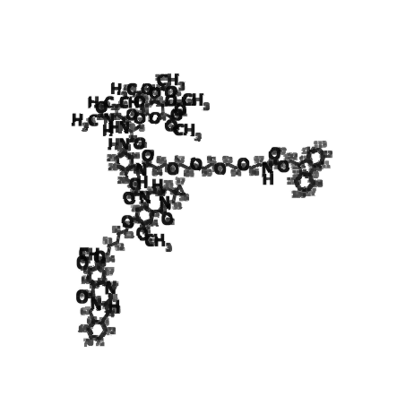 COC(=O)[C@H]1O[C@@H](OC[C@H](NC(=O)[C@@H](NC(C)=O)C(C)C)C(=O)Nc2ccc(COC(=O)N3C[C@@H]4CC5(CC5)CN4C(=O)c4cc(OC)c(OCCCCCOc5cc6c(cc5OC)C(=O)N5Cc7ccccc7C[C@H]5C=N6)cc43)c(NC(=O)CCOCCOCCOCCOCCNC(=O)OCC3c4ccccc4-c4ccccc43)c2)[C@H](OC(C)=O)[C@@H](OC(C)=O)[C@@H]1OC(C)=O